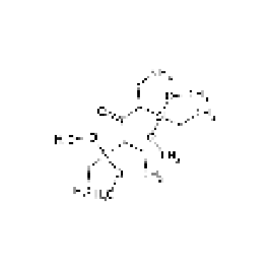 CCC(C(=O)C(CC)[Si](CC)(OC)OC)[Si](CC)(OC)OC